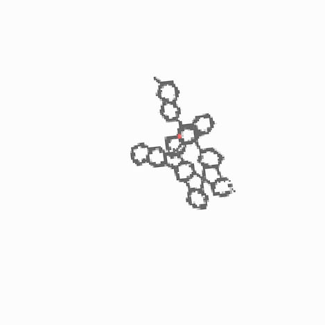 Cc1ccc2cc(-c3c4ccccc4c(-c4ccc5c(c4)C4(c6ccccc6-c6cc7c8cc9ccccc9cc8n(-c8ccccc8)c7cc64)c4ccnnc4-5)c4ccccc34)ccc2c1